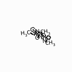 CC#CCn1c(N2CCCCC2)nc2c1c(=O)n(Cc1nc(C)c3ccccc3n1)c(=O)n2C